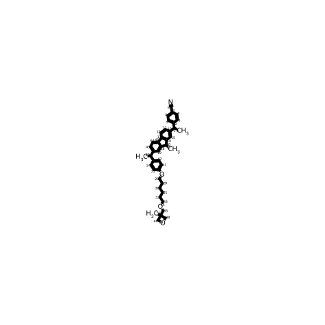 CC(c1ccc(C#N)cc1)c1ccc2c(c1)C(C)c1cc(C(C)c3ccc(OCCCCCCOCC4(C)COC4)cc3)ccc1-2